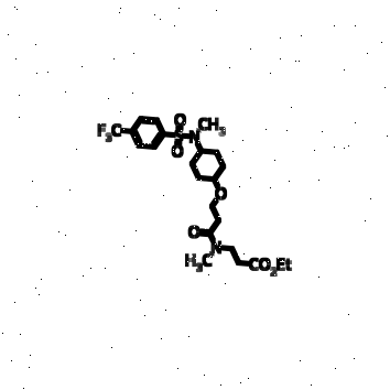 CCOC(=O)CCN(C)C(=O)CCOC1CCC(N(C)S(=O)(=O)c2ccc(C(F)(F)F)cc2)CC1